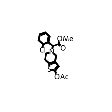 COC(=O)C(C1=CC=CCC1Cl)N1CCc2sc(OC(C)=O)cc2C1